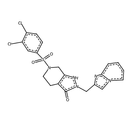 O=c1c2c([nH]n1Cc1cn3ccccc3n1)CN(S(=O)(=O)c1ccc(Cl)c(Cl)c1)CC2